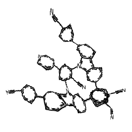 N#Cc1ccc(-c2ccc3c4ccc(-c5ccc(C#N)cc5)cc4n(-c4cc(-c5ccncc5)cc(-n5c6cc(-c7ccc(C#N)cc7)ccc6c6ccc(-c7ccc(C#N)cc7)cc65)c4C#N)c3c2)cc1